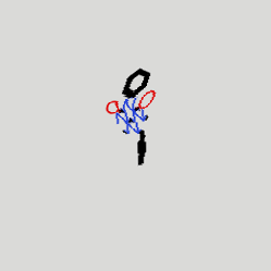 CC#CCN(C)c1nc(=O)n(C2CCCCC2)c(=O)n1C